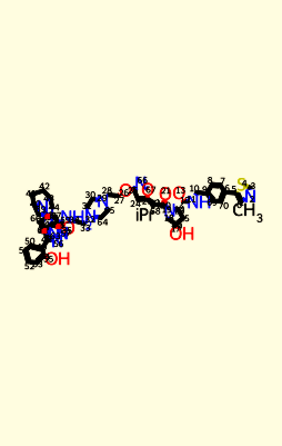 Cc1ncsc1-c1ccc(CNC(=O)[C@@H]2C[C@@H](O)CN2C(=O)[C@H](c2cc(OCCN3CCN(CCOc4cc(N5C6CCC5CN(c5cc(-c7ccccc7O)nnc5N)C6)ccn4)CC3)no2)C(C)C)cc1